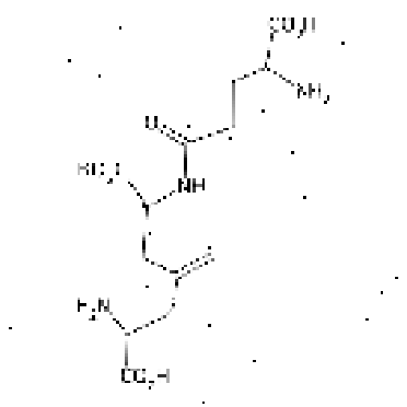 C=C(CC(N)C(=O)O)CC(NC(=O)CCC(N)C(=O)O)C(=O)O